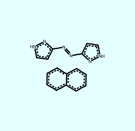 c1cc(N=Nc2cc[nH]n2)n[nH]1.c1ccc2ccccc2c1